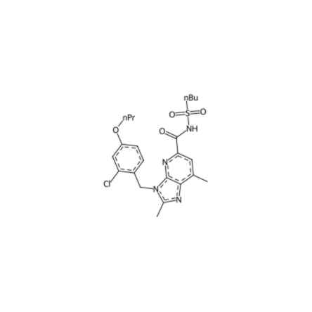 CCCCS(=O)(=O)NC(=O)c1cc(C)c2nc(C)n(Cc3ccc(OCCC)cc3Cl)c2n1